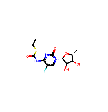 CCSC(=O)Nc1nc(=O)n([C@@H]2O[C@H](C)[C@@H](O)[C@H]2O)cc1F